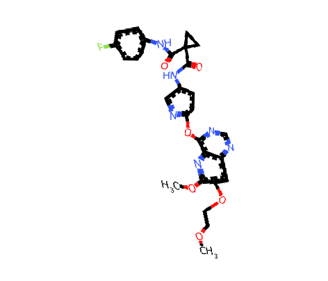 COCCOc1cc2ncnc(Oc3ccc(NC(=O)C4(C(=O)Nc5ccc(F)cc5)CC4)cn3)c2nc1OC